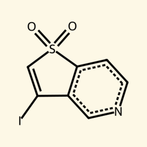 O=S1(=O)C=C(I)c2cnccc21